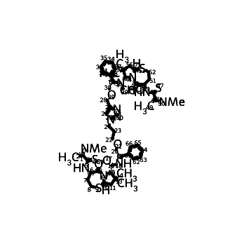 CN[C@@H](C)C(=S)N[C@H]1CCS[C@H]2CC(C)(C)[C@@H](C(=O)N[C@H](COCCCn3cc(COC[C@H](c4ccccc4)N(C=O)[C@H]4N5C(=O)[C@@H](NC(=S)[C@H](C)NC)CCS[C@H]5CC4(C)C)nn3)c3ccccc3)N2C1=O